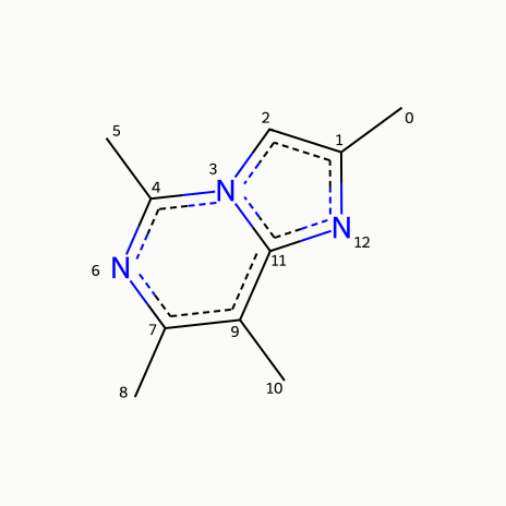 Cc1cn2c(C)nc(C)c(C)c2n1